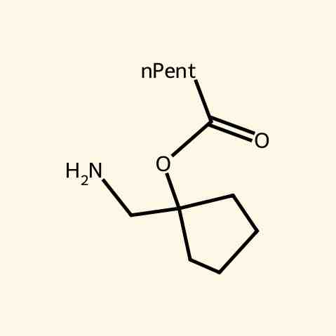 CCCCCC(=O)OC1(CN)CCCC1